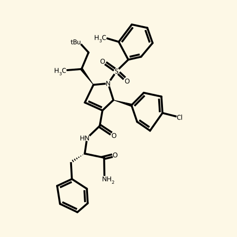 Cc1ccccc1S(=O)(=O)N1[C@@H](c2ccc(Cl)cc2)C(C(=O)N[C@@H](Cc2ccccc2)C(N)=O)=C[C@H]1C(C)CC(C)(C)C